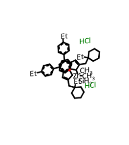 CCc1ccc(-c2cccc3c2C=C(CC2(CC)CCCCC2)[CH]3[Zr]([CH3])([CH3])(=[SiH2])[CH]2C(CC3(CC)CCCCC3)=Cc3c(-c4ccc(CC)cc4)cccc32)cc1.Cl.Cl